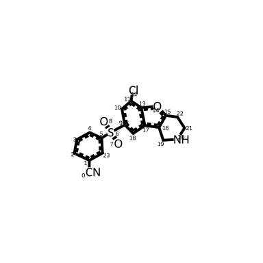 N#Cc1cccc(S(=O)(=O)c2cc(Cl)c3oc4c(c3c2)CNCC4)c1